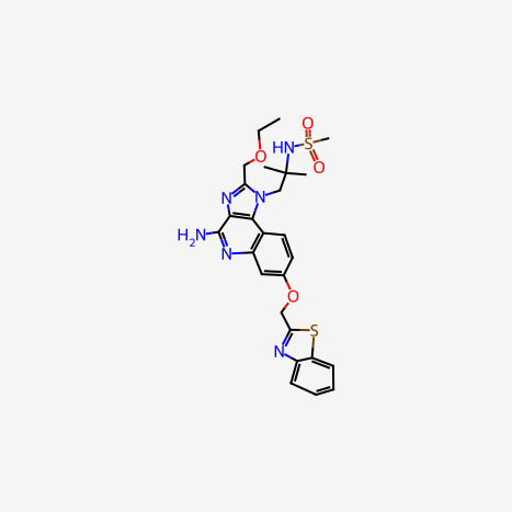 CCOCc1nc2c(N)nc3cc(OCc4nc5ccccc5s4)ccc3c2n1CC(C)(C)NS(C)(=O)=O